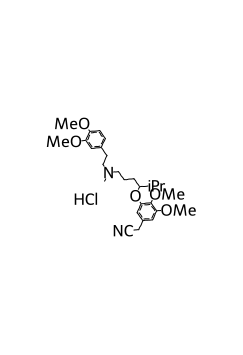 COc1ccc(CCN(C)CCCC(Oc2cc(CC#N)cc(OC)c2OC)C(C)C)cc1OC.Cl